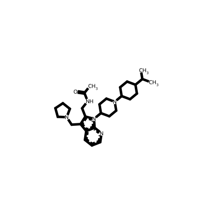 CC(=O)NCc1c(CN2CCCC2)c2cccnc2n1C1CCN(C2CCC(C(C)C)CC2)CC1